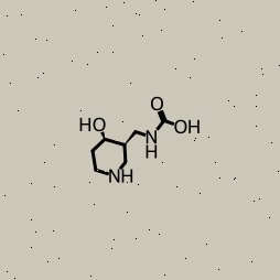 O=C(O)NC[C@H]1CNCC[C@H]1O